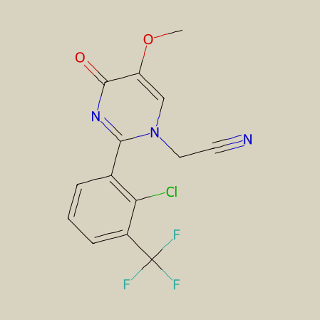 COc1cn(CC#N)c(-c2cccc(C(F)(F)F)c2Cl)nc1=O